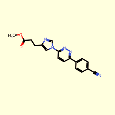 COC(=O)CCc1cn(-c2ccc(-c3ccc(C#N)cc3)nn2)cn1